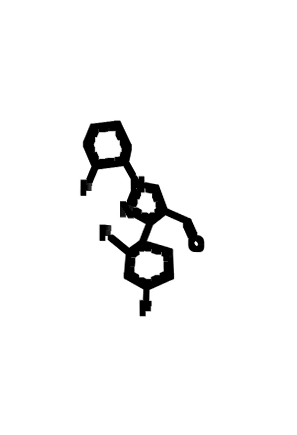 O=Cc1cn(-c2ccccc2F)nc1-c1ccc(F)cc1F